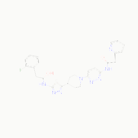 O=C(Cc1ccccn1)Nc1ccc(N2CCC(c3nnc(NC(O)Cc4ccccc4F)s3)CC2)nn1